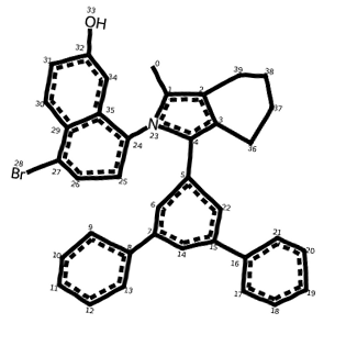 Cc1c2c(c(-c3cc(-c4ccccc4)cc(-c4ccccc4)c3)n1-c1ccc(Br)c3ccc(O)cc13)CCCC2